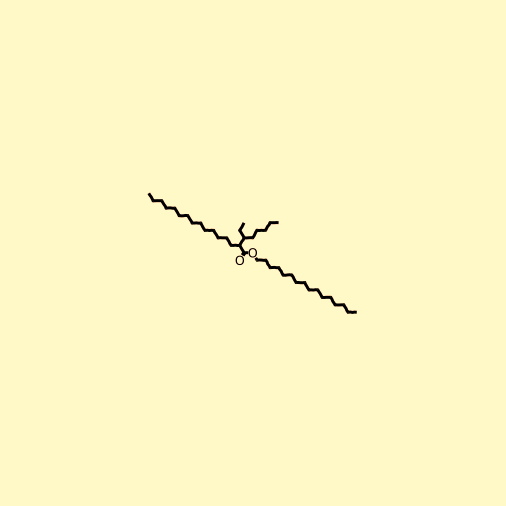 CCCCCCCCCCCCCCCCOC(=O)C(CCCCCCCCCCCCCC)C(CC)CCCCC